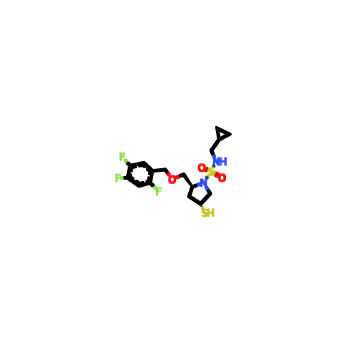 O=S(=O)(NCC1CC1)N1C[C@H](S)C[C@H]1COCc1cc(F)c(F)cc1F